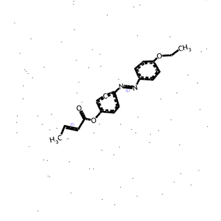 C/C=C/C(=O)Oc1ccc(/N=N/c2ccc(OCC)cc2)cc1